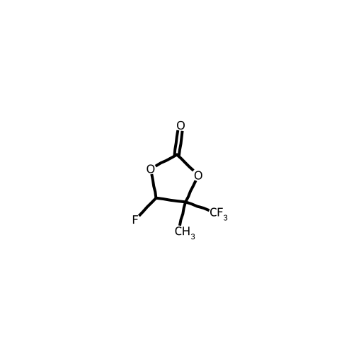 CC1(C(F)(F)F)OC(=O)OC1F